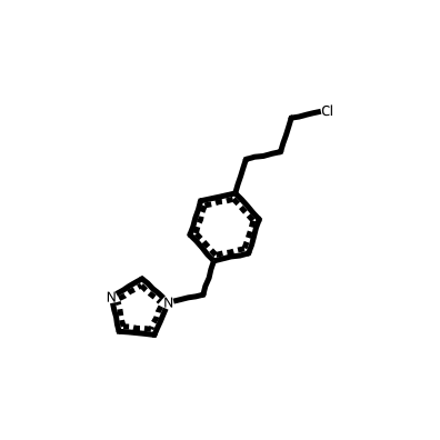 ClCCCc1ccc(Cn2ccnc2)cc1